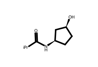 CC(C)C(=O)N[C@@H]1CC[C@H](O)C1